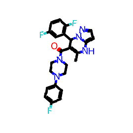 CC1=C(C(=O)N2CCN(c3ccc(F)cc3)CC2)C(c2cc(F)ccc2F)n2nccc2N1